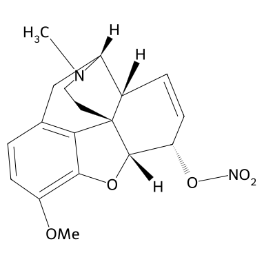 COc1ccc2c3c1O[C@H]1[C@@H](O[N+](=O)[O-])C=C[C@H]4[C@@H](C2)N(C)CC[C@@]341